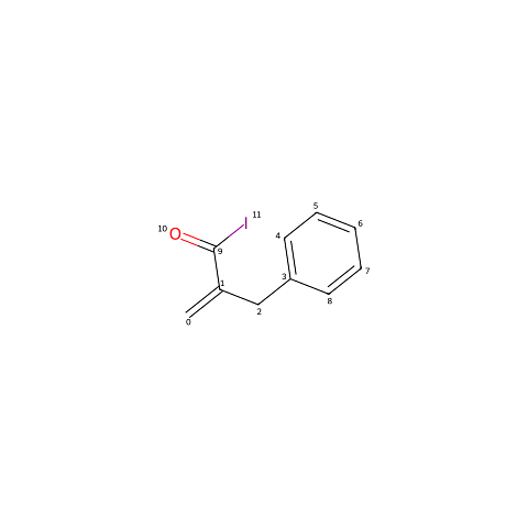 C=C(Cc1ccccc1)C(=O)I